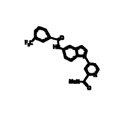 CNC(=O)c1cc(-n2ccc3cc(NC(=O)c4cccc(C(F)(F)F)c4)ccc32)ccn1